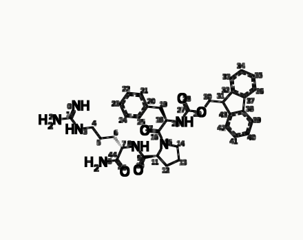 N=C(N)NCCC[C@H](NC(=O)[C@@H]1CCCN1C(=O)[C@@H](Cc1ccccc1)NC(=O)OCC1c2ccccc2-c2ccccc21)C(N)=O